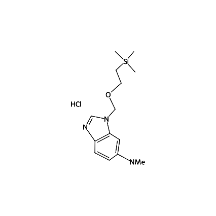 CNc1ccc2ncn(COCC[Si](C)(C)C)c2c1.Cl